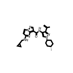 C=C(C)c1nn([C@H]2CC[C@H](C)CC2)cc1NC(=O)c1cnn2ccc(NCC3CC3)nc12